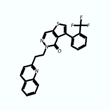 O=c1c2c(-c3ccccc3C(F)(F)F)csc2cnn1CCc1ccc2ccccc2n1